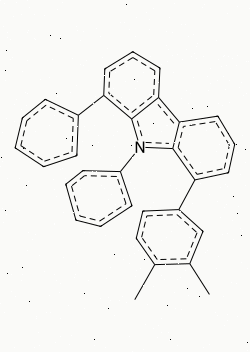 Cc1ccc(-c2cccc3c4cccc(-c5ccccc5)c4n(-c4ccccc4)c23)cc1C